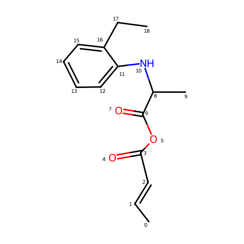 CC=CC(=O)OC(=O)C(C)Nc1ccccc1CC